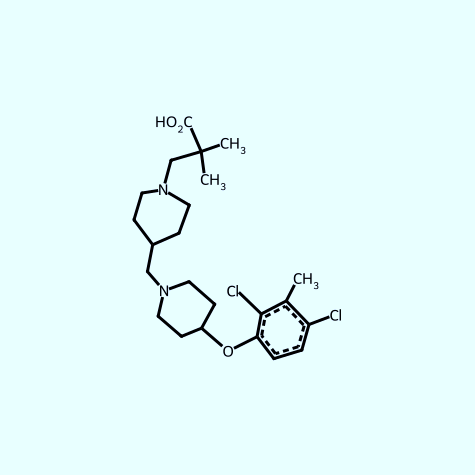 Cc1c(Cl)ccc(OC2CCN(CC3CCN(CC(C)(C)C(=O)O)CC3)CC2)c1Cl